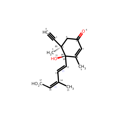 C#C[C@@]1(C)CC(=O)C=C(C)[C@]1(O)/C=C/C(C)=C\C(=O)O